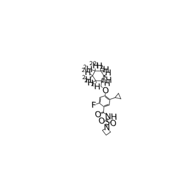 [2H]C1([2H])C([2H])([2H])C([2H])([2H])C([2H])(COc2cc(F)c(C(=O)NS(=O)(=O)N3CCC3)cc2C2CC2)C([2H])([2H])C1([2H])[2H]